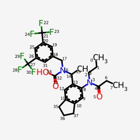 CCCN(C(=O)CC)c1cc2c(cc1C(C)N(Cc1cc(C(F)(F)F)cc(C(F)(F)F)c1)C(=O)O)CCC2